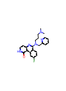 CN(C)CCCN(Cc1ccccn1)c1nc2cc[nH]c(=O)c2c2cc(F)ccc12